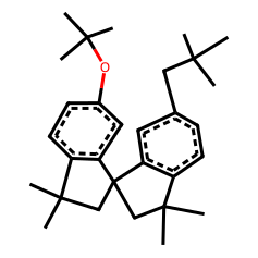 CC(C)(C)Cc1ccc2c(c1)C1(CC2(C)C)CC(C)(C)c2ccc(OC(C)(C)C)cc21